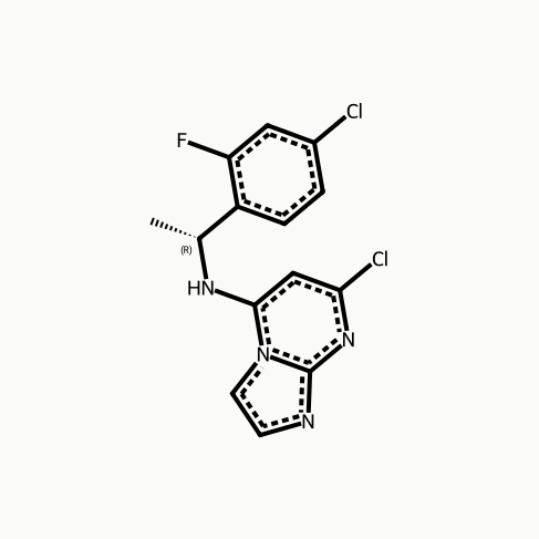 C[C@@H](Nc1cc(Cl)nc2nccn12)c1ccc(Cl)cc1F